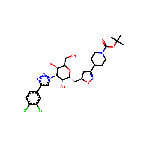 CC(C)(C)OC(=O)N1CCC(C2=NO[C@@H](C[C@H]3O[C@H](CO)[C@H](O)[C@H](n4cc(-c5ccc(Cl)c(Cl)c5)nn4)[C@H]3O)C2)CC1